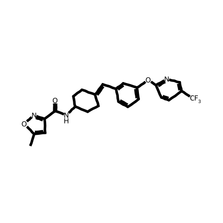 Cc1cc(C(=O)NC2CCC(=Cc3cccc(Oc4ccc(C(F)(F)F)cn4)c3)CC2)no1